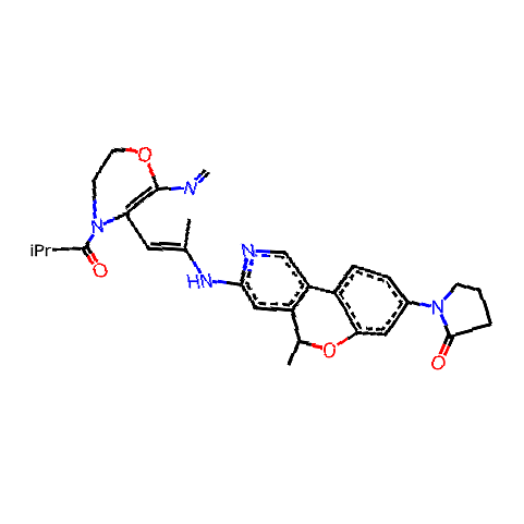 C=NC1=C(/C=C(\C)Nc2cc3c(cn2)-c2ccc(N4CCCC4=O)cc2OC3C)N(C(=O)C(C)C)CCO1